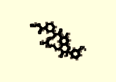 CCC(=O)NCCN1C(=O)C(C)(c2cccc(C(F)(F)F)c2)Oc2cc(C)c(C(=O)N(C(C)C)[C@@H]3CCCN(C(=O)OC(C)(C)C)C3)cc21